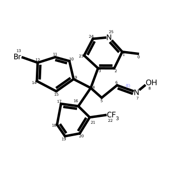 Cc1cc(C(C/C=N/O)(c2ccc(Br)cc2)c2ccccc2C(F)(F)F)ccn1